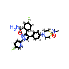 CN=S1(=O)CCN(c2ccc(-c3cn(-c4ccc(F)cn4)nc3[C@@H]3CC[C@H](F)C[C@H]3C(N)=O)cc2)CC1